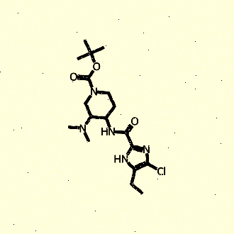 CCc1[nH]c(C(=O)NC2CCN(C(=O)OC(C)(C)C)CC2N(C)C)nc1Cl